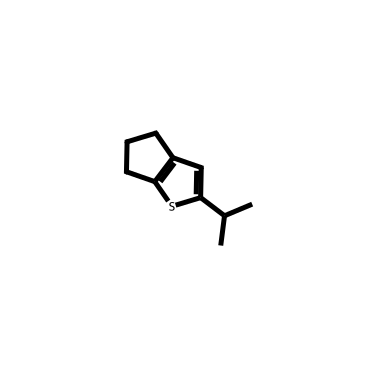 CC(C)c1cc2c(s1)CCC2